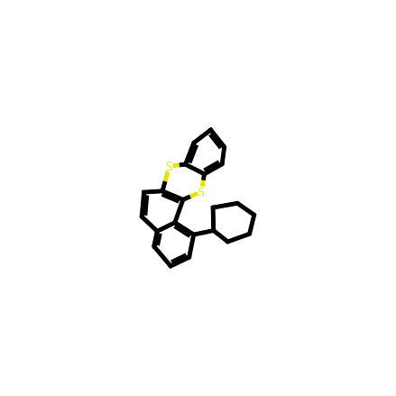 c1ccc2c(c1)Sc1ccc3cccc(C4CCCCC4)c3c1S2